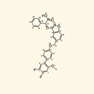 COc1cc(F)c(F)cc1-c1ccc(OCc2ccc3onc(OC(C(=O)O)c4ccccc4)c3c2)cc1